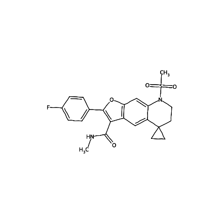 CNC(=O)c1c(-c2ccc(F)cc2)oc2cc3c(cc12)C1(CCN3S(C)(=O)=O)CC1